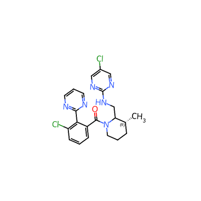 C[C@@H]1CCCN(C(=O)c2cccc(Cl)c2-c2ncccn2)C1CNc1ncc(Cl)cn1